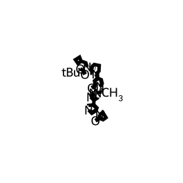 CC(n1cc(-c2cncc(N3CCCC3=O)c2)nn1)n1ccc(N2CCC[C@@H](N(CC3CCC3)C(=O)OC(C)(C)C)C2)cc1=O